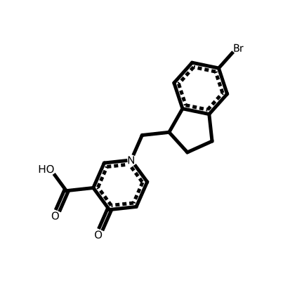 O=C(O)c1cn(CC2CCc3cc(Br)ccc32)ccc1=O